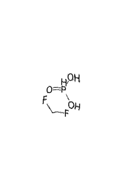 FCF.O=[PH](O)O